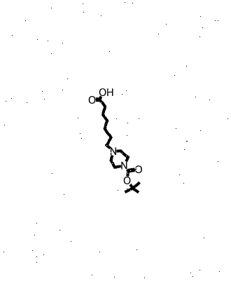 CC(C)(C)OC(=O)N1CCN(CCCCCCC(=O)O)CC1